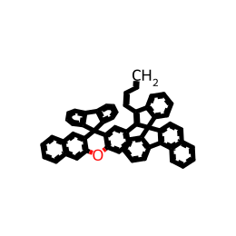 C=C/C=C\C1=C(c2ccc3c(c2)C2(c4cc5ccccc5cc4O3)c3ccccc3-c3ccccc32)C2(c3ccccc31)c1ccccc1-c1c2ccc2ccccc12